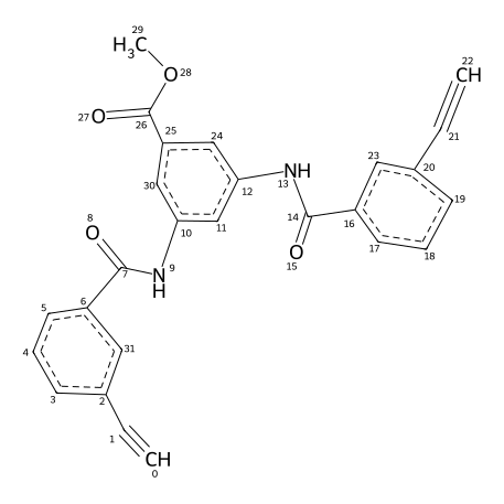 C#Cc1cccc(C(=O)Nc2cc(NC(=O)c3cccc(C#C)c3)cc(C(=O)OC)c2)c1